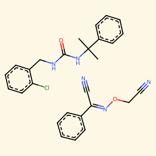 CC(C)(NC(=O)NCc1ccccc1Cl)c1ccccc1.N#CCO/N=C(\C#N)c1ccccc1